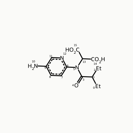 CCC(CC)C(=O)N(c1ccc(N)cn1)C(C(=O)O)C(=O)O